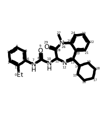 CCc1ccccc1NC(=O)NC1N=C(C2CCCCC2)c2ccccc2N(C)C1=O